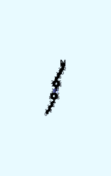 CCCCCCC[C@H]1CC[C@H](/C=C/C2CCC(CCC=CC=CC#N)CC2)CC1